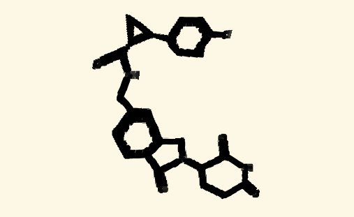 O=C1CCC(N2Cc3cc(CNC(=O)[C@@H]4C[C@H]4c4ccc(Cl)cc4)ccc3C2=O)C(=O)N1